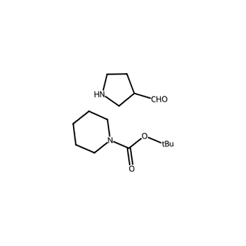 CC(C)(C)OC(=O)N1CCCCC1.O=CC1CCNC1